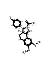 COc1cc2c(cc1OC)C1=NN(C(C)=O)[C@@H](c3ccc(F)cc3)[C@@H]1CC2